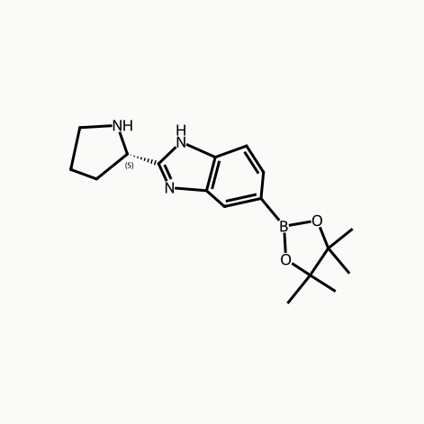 CC1(C)OB(c2ccc3[nH]c([C@@H]4CCCN4)nc3c2)OC1(C)C